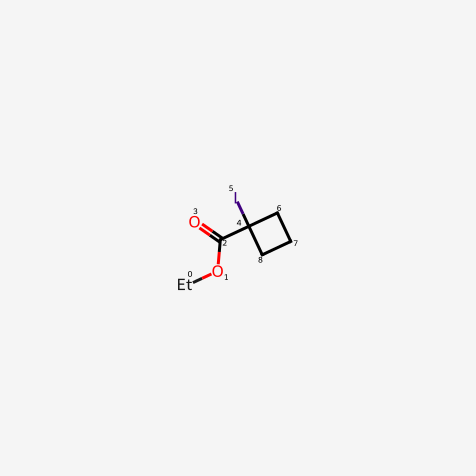 CCOC(=O)C1(I)CCC1